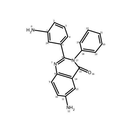 Nc1cccc(-c2nc3ccc(N)cc3c(=O)n2-c2ccccc2)c1